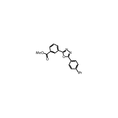 COC(=O)c1cccc(-c2nnc(-c3ccc(C(C)C)cc3)o2)c1